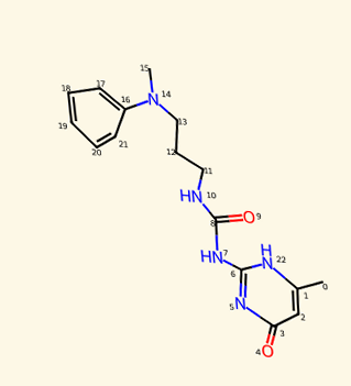 Cc1cc(=O)nc(NC(=O)NCCCN(C)c2ccccc2)[nH]1